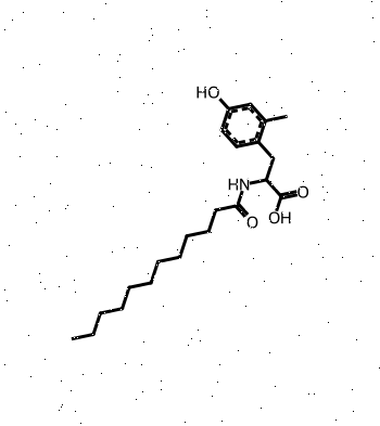 CCCCCCCCCCCC(=O)NC(Cc1ccc(O)cc1C)C(=O)O